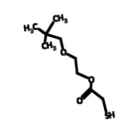 CC(C)(C)COCCOC(=O)CS